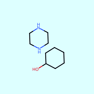 C1CNCCN1.OC1CCCCC1